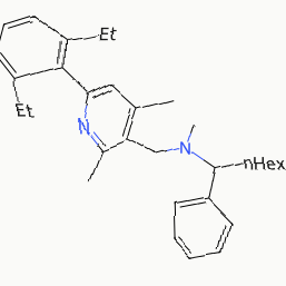 CCCCCCC(c1ccccc1)N(C)Cc1c(C)cc(-c2c(CC)cccc2CC)nc1C